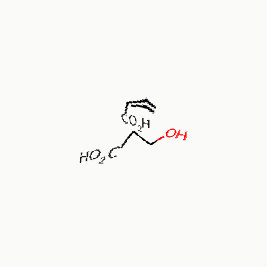 C=CC(=O)O.O=C(O)CCO